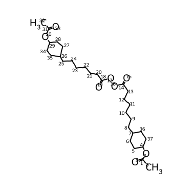 CC(=O)OC1CCC(CCCCCCC(=O)OOC(=O)CCCCCCC2CCC(OC(C)=O)CC2)CC1